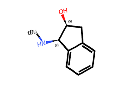 CC(C)(C)N[C@@H]1c2ccccc2C[C@@H]1O